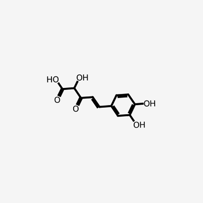 O=C(O)C(O)C(=O)C=Cc1ccc(O)c(O)c1